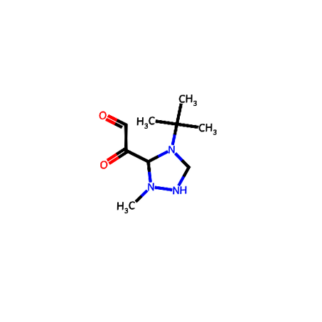 CN1NCN(C(C)(C)C)C1C(=O)C=O